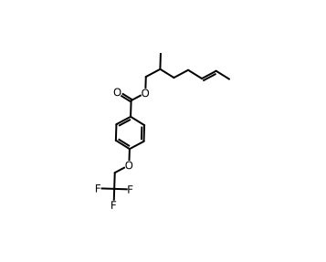 CC=CCCC(C)COC(=O)c1ccc(OCC(F)(F)F)cc1